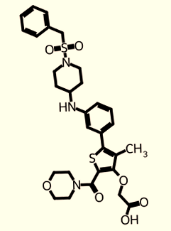 Cc1c(-c2cccc(NC3CCN(S(=O)(=O)Cc4ccccc4)CC3)c2)sc(C(=O)N2CCOCC2)c1OCC(=O)O